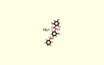 Cc1cc(C)c(C(=O)Pc2ccc(OCc3ccccc3)cc2C)c(C)c1.[LiH]